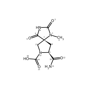 CN1C(=O)NC(=O)[C@]12C[C@@H](C(N)=O)N(C(=O)O)C2